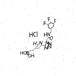 Cl.NC(CCCCB(O)O)c1nnnn1CC(=O)NCc1cc(F)c(F)c(F)c1